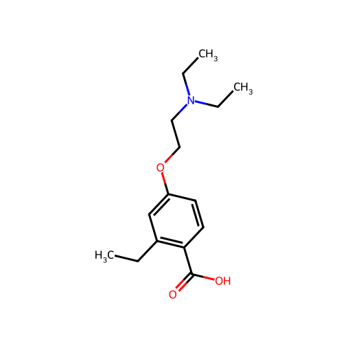 CCc1cc(OCCN(CC)CC)ccc1C(=O)O